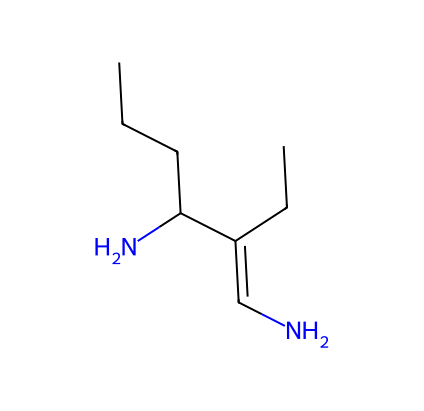 CCCC(N)/C(=C/N)CC